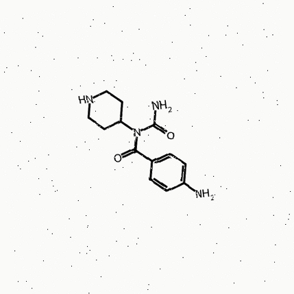 NC(=O)N(C(=O)c1ccc(N)cc1)C1CCNCC1